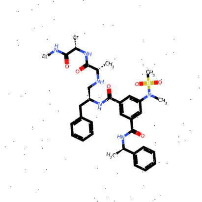 CCNC(=O)[C@H](CC)NC(=O)[C@H](C)NC[C@H](Cc1ccccc1)NC(=O)c1cc(C(=O)N[C@H](C)c2ccccc2)cc(N(C)S(C)(=O)=O)c1